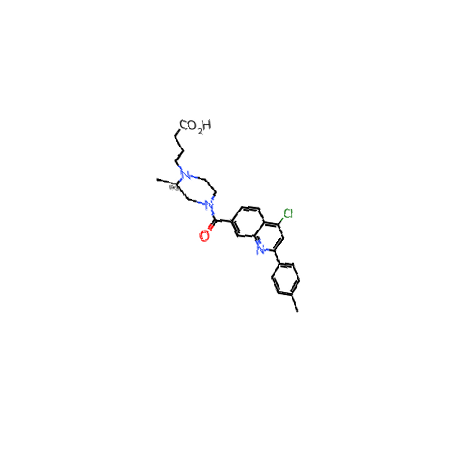 Cc1ccc(-c2cc(Cl)c3ccc(C(=O)N4CCN(CCCC(=O)O)[C@H](C)C4)cc3n2)cc1